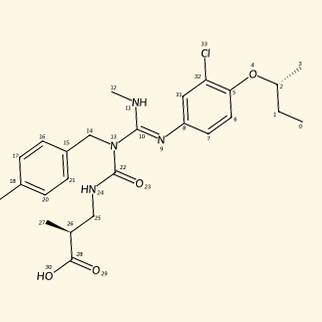 CC[C@@H](C)Oc1ccc(/N=C(\NC)N(Cc2ccc(C)cc2)C(=O)NC[C@H](C)C(=O)O)cc1Cl